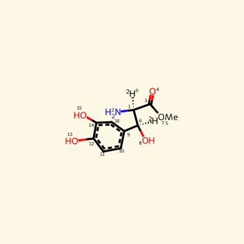 [2H][C@](N)(C(=O)OC)[C@@]([2H])(O)c1ccc(O)c(O)c1